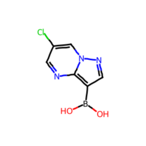 OB(O)c1cnn2cc(Cl)cnc12